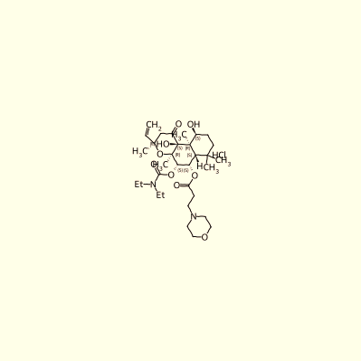 C=C[C@@]1(C)CC(=O)[C@]2(O)[C@@]3(C)[C@@H](O)CCC(C)(C)[C@@H]3[C@H](OC(=O)CCN3CCOCC3)[C@H](OC(=O)N(CC)CC)[C@@]2(C)O1.Cl